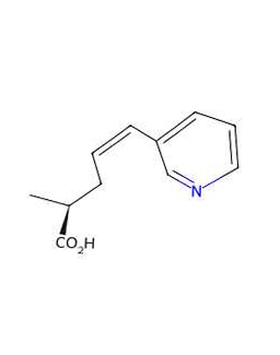 C[C@@H](C/C=C\c1cccnc1)C(=O)O